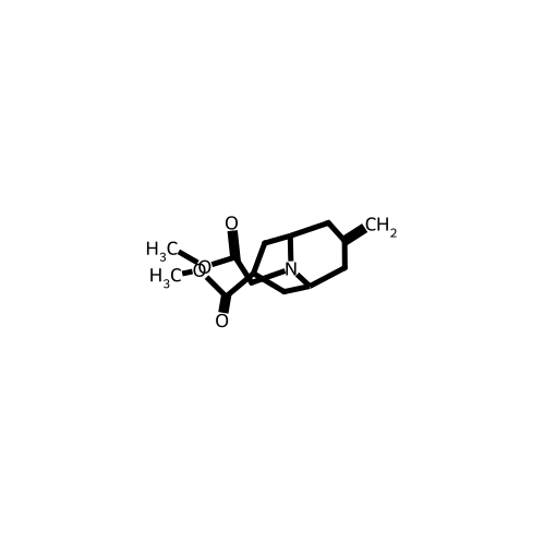 C=C1CC2CC(C(=O)OC)CC(C1)N2CC(=O)OC